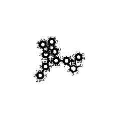 CC1CC=CC2c3cc(-c4ccc(N(c5ccc(-c6ccccc6)cc5)c5ccc6c(c5)C5(c7ccccc7-c7ccccc75)c5ccccc5-6)cc4)ccc3N(c3ccccc3)C12